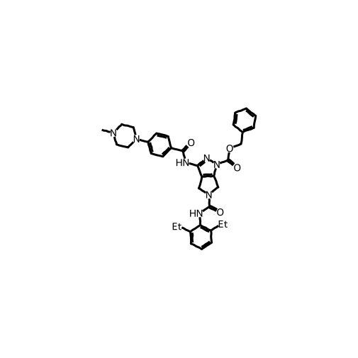 CCc1cccc(CC)c1NC(=O)N1Cc2c(NC(=O)c3ccc(N4CCN(C)CC4)cc3)nn(C(=O)OCc3ccccc3)c2C1